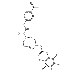 CC(=O)c1ccc(CNC(=O)C2CC/C=C/C(OC(=O)Oc3c(F)c(F)c(F)c(F)c3F)CC2)cc1